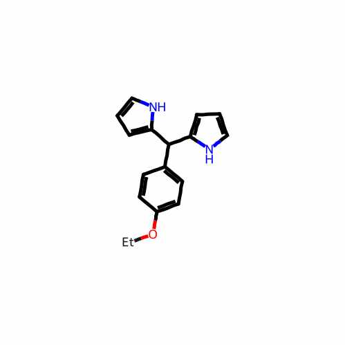 CCOc1ccc(C(c2ccc[nH]2)c2ccc[nH]2)cc1